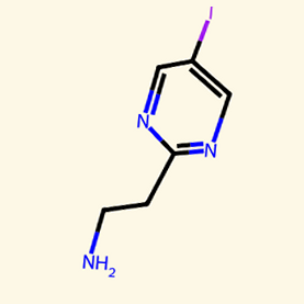 NCCc1ncc(I)cn1